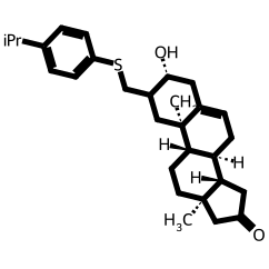 CC(C)c1ccc(SCC2C[C@@]3(C)C(=CC[C@H]4[C@@H]5CC(=O)C[C@@]5(C)CC[C@@H]43)C[C@H]2O)cc1